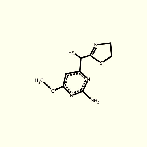 COc1cc(C(S)C2=NCCS2)nc(N)n1